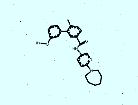 Cc1ccc(C(=O)Nc2ccc(N3CCCCCC3)nc2)cc1-c1cccc(OC(C)C)c1